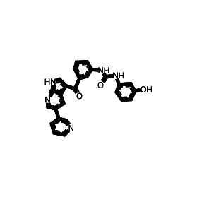 O=C(Nc1cccc(O)c1)Nc1cccc(C(=O)c2c[nH]c3ncc(-c4cccnc4)cc23)c1